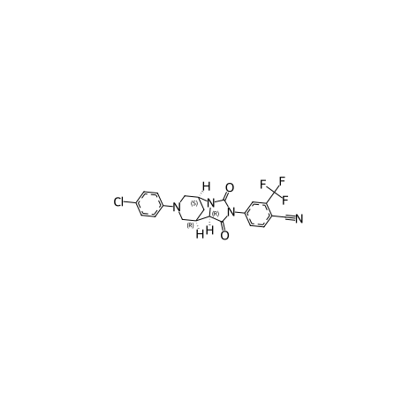 N#Cc1ccc(N2C(=O)[C@H]3[C@@H]4C[C@@H](CN(c5ccc(Cl)cc5)C4)N3C2=O)cc1C(F)(F)F